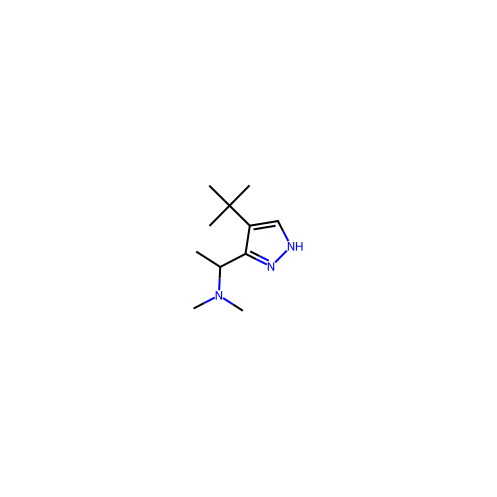 CC(c1n[nH]cc1C(C)(C)C)N(C)C